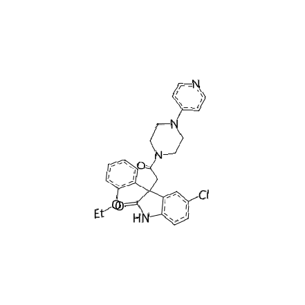 CCOc1ccccc1C1(CC(=O)N2CCN(c3ccncc3)CC2)C(=O)Nc2ccc(Cl)cc21